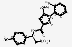 COc1cc(C(=O)N[C@@H](CC(=O)O)c2ccc(C#N)cc2)nn1-c1ccccc1F